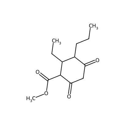 CCCC1C(=O)CC(=O)C(C(=O)OC)C1CC